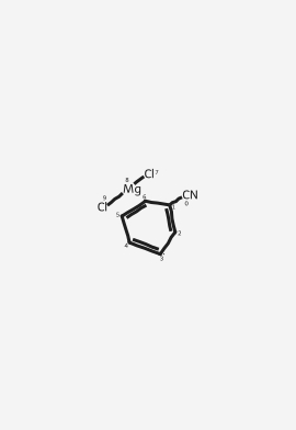 N#Cc1c[c]ccc1.[Cl][Mg][Cl]